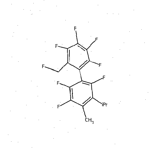 Cc1c(F)c(F)c(-c2c(F)c(F)c(F)c(F)c2CF)c(F)c1C(C)C